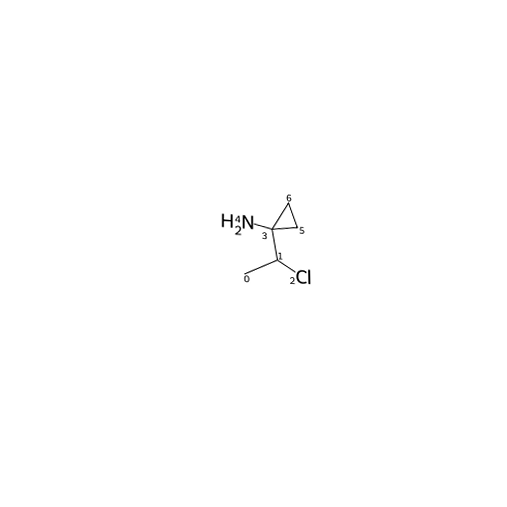 CC(Cl)C1(N)CC1